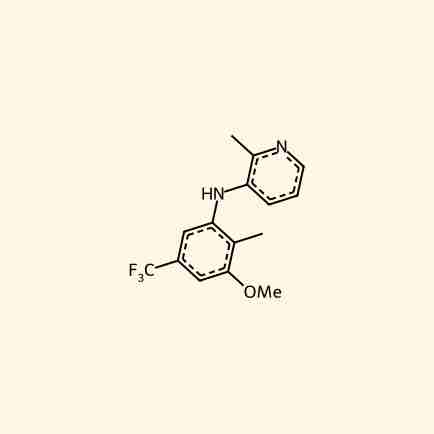 COc1cc(C(F)(F)F)cc(Nc2cccnc2C)c1C